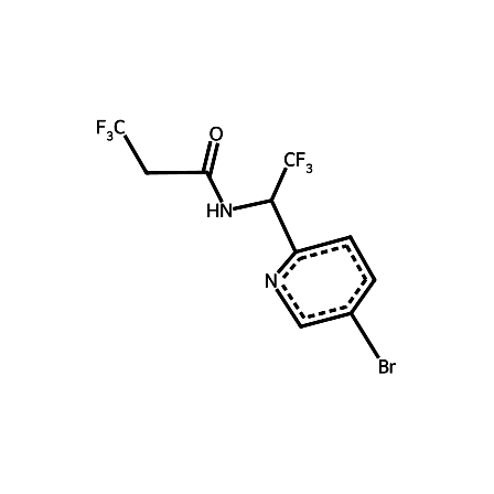 O=C(CC(F)(F)F)NC(c1ccc(Br)cn1)C(F)(F)F